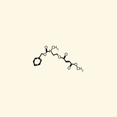 COC(=O)/C=C/C(=O)OCCN(C)C(=O)OCc1ccccc1